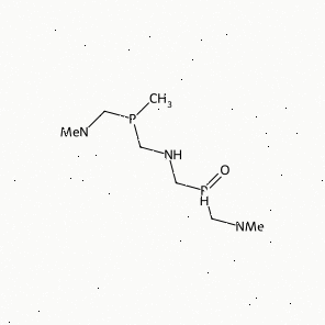 CNCP(C)CNC[PH](=O)CNC